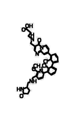 COc1nc(-c2cccc(-c3cccc(-c4ccn5c(=O)c(CNCCC(=O)O)cnc5c4)c3Cl)c2Cl)ccc1CNCC1CCC(=O)N1